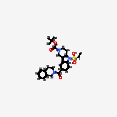 CCS(=O)(=O)n1c2c(c3cc(C(=O)N4CCc5ccccc5C4)ccc31)CN(C(=O)OC(C)(C)C)CC2